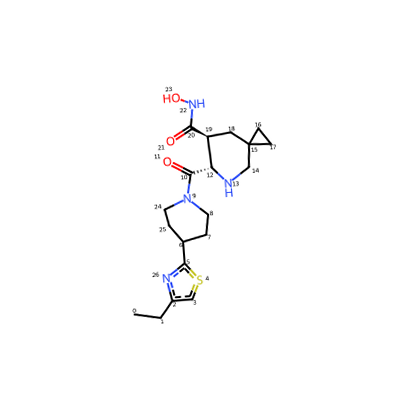 CCc1csc(C2CCN(C(=O)[C@H]3NCC4(CC4)C[C@@H]3C(=O)NO)CC2)n1